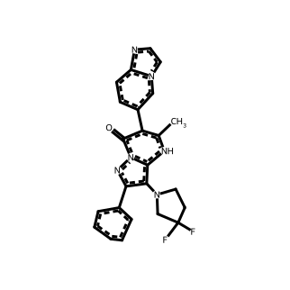 Cc1[nH]c2c(N3CCC(F)(F)C3)c(-c3ccccc3)nn2c(=O)c1-c1ccc2nccn2c1